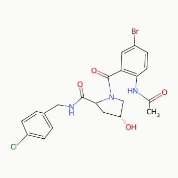 CC(=O)Nc1ccc(Br)cc1C(=O)N1C[C@H](O)CC1C(=O)NCc1ccc(Cl)cc1